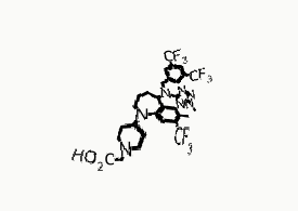 Cc1cc2c(cc1C(F)(F)F)N(C1CCN(CC(=O)O)CC1)CCCC2N(Cc1cc(C(F)(F)F)cc(C(F)(F)F)c1)c1nnn(C)n1